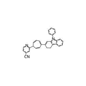 N#Cc1ccnc(C2C=CC=C(C3=Cc4c(c5ccccc5n4-c4ccccc4)CC3)C=C2)c1